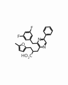 Cc1ccc(CC(Cc2ncc(-c3ccccc3)nc2Cc2cc(F)cc(F)c2)C(=O)O)o1